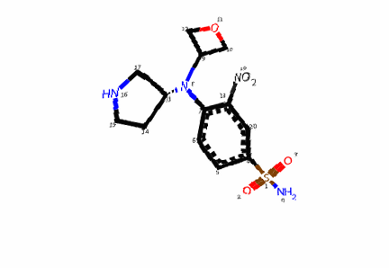 NS(=O)(=O)c1ccc(N(C2COC2)[C@@H]2CCNC2)c([N+](=O)[O-])c1